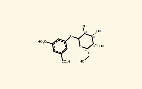 O=C(O)c1cc(OC2O[C@@H](CO)[C@@H](O)[C@@H](O)[C@@H]2O)cc(C(=O)O)c1